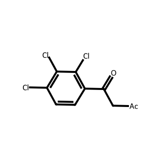 CC(=O)CC(=O)c1ccc(Cl)c(Cl)c1Cl